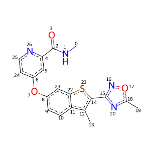 CNC(=O)c1cc(Oc2ccc3c(C)c(-c4noc(C)n4)sc3c2)ccn1